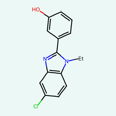 CCn1c(-c2cc[c]c(O)c2)nc2cc(Cl)ccc21